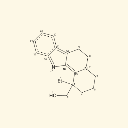 CCC1(CO)CCCN2CCC3=c4ccccc4=NC3=C21